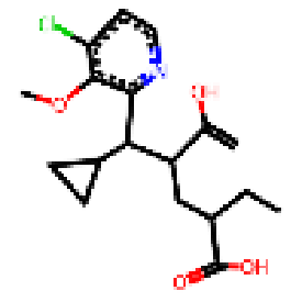 C=C(O)C(CC(CC)C(=O)O)C(c1nccc(Cl)c1OC)C1CC1